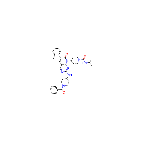 Cc1ccccc1-c1cc2cnc(NC3CCN(C(=O)c4ccccc4)CC3)nc2n(C2CCN(C(=O)NC(C)C)CC2)c1=O